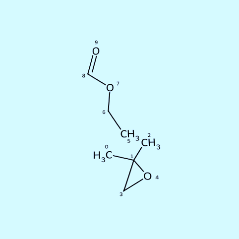 CC1(C)CO1.CCOC=O